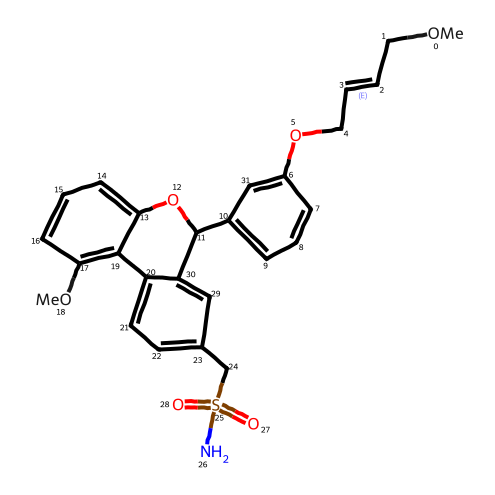 COC/C=C/COc1cccc(C2Oc3cccc(OC)c3-c3ccc(CS(N)(=O)=O)cc32)c1